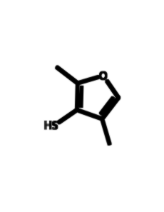 Cc1coc(C)c1S